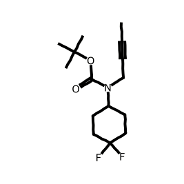 CC#CCN(C(=O)OC(C)(C)C)C1CCC(F)(F)CC1